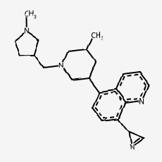 CC1CC(c2ccc(C3C=N3)c3ncccc23)CN(CC2CCN(C)C2)C1